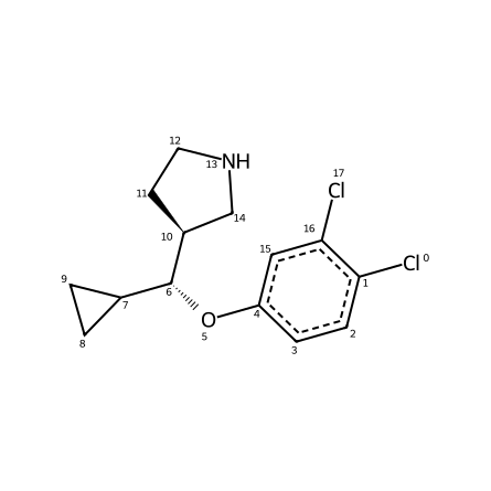 Clc1ccc(O[C@H](C2CC2)[C@H]2CCNC2)cc1Cl